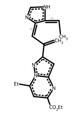 C=C(/C=c1/nc[nH]/c1=C/C)c1cc2nc(C(=O)OCC)cc(CC)n2n1